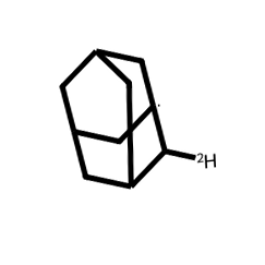 [2H]C1[C]2CC3CC(C2)CC1C3